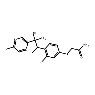 Cc1cnc(C(O)(C(C)c2ccc(OCC(N)=O)cc2Cl)C(F)(F)F)cn1